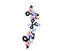 CC(C)(C)OC(=O)N[C@@H](C(=O)N1CCC[C@H]1C(=O)Nc1ccc(-c2[nH]c3ccc(NC(=O)[C@@H]4CCCN4C(=O)[C@H](NC(=O)OC(C)(C)C)c4ccccc4)cc3c2-c2ccncc2)cc1)c1ccccc1